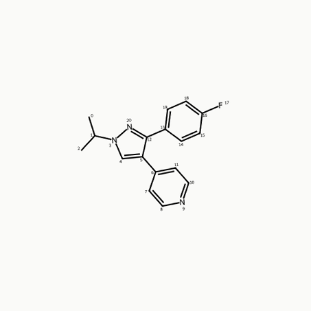 CC(C)n1cc(-c2ccncc2)c(-c2ccc(F)cc2)n1